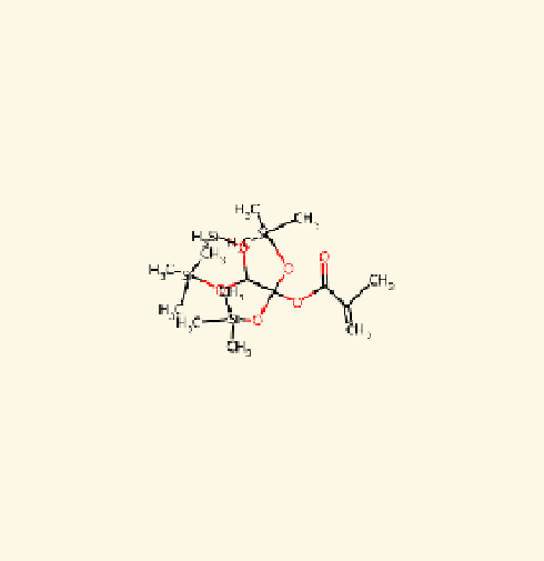 C=C(C)C(=O)OC(O[Si](C)(C)C)(O[Si](C)(C)C)C(O[SiH3])O[Si](C)(C)C